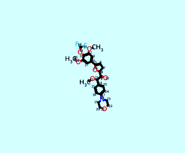 COc1cc(C2=CCC(C(=O)C(OC)c3ccc(N4CCOCC4)cc3)O2)cc(OC)c1OC(F)F